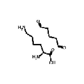 NCCCC[C@H](N)C(=O)O.O=CCCCC=O